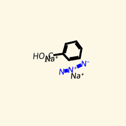 O=C(O)c1ccccc1.[N-]=[N+]=[N-].[Na+].[Na+]